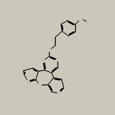 COc1ccc(CCNc2ncc3c(n2)-c2cccnc2Nc2cnccc2-3)cc1